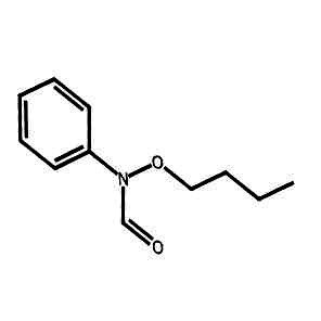 CCCCON(C=O)c1ccccc1